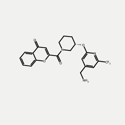 NCc1cc(O[C@H]2CCCN(C(=O)c3cc(=O)c4ccccc4o3)C2)nc(C(F)(F)F)c1